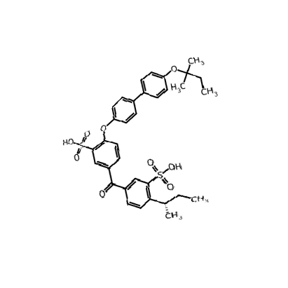 CC[C@H](C)c1ccc(C(=O)c2ccc(Oc3ccc(-c4ccc(OC(C)(C)CC)cc4)cc3)c(S(=O)(=O)O)c2)cc1S(=O)(=O)O